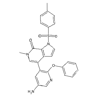 Cc1ccc(S(=O)(=O)n2ccc3c(-c4cc(N)cnc4Oc4ccccc4)cn(C)c(=O)c32)cc1